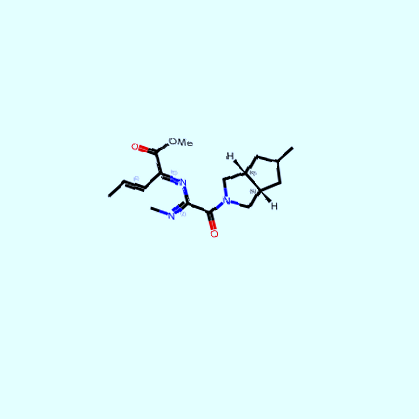 C/C=C/C(=N\C(=N/C)C(=O)N1C[C@H]2CC(C)C[C@H]2C1)C(=O)OC